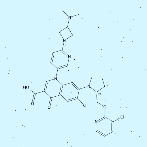 CN(C)C1CN(c2ccc(-n3cc(C(=O)O)c(=O)c4cc(Cl)c(N5CCC[C@@H]5COc5ncccc5Cl)cc43)cn2)C1